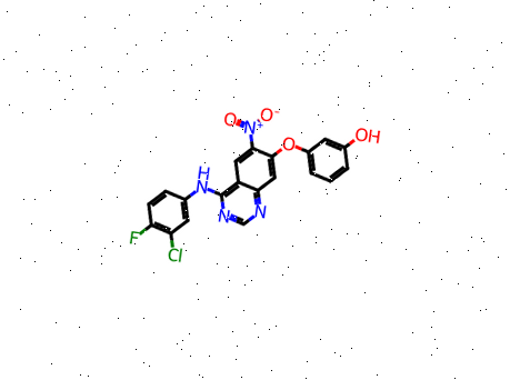 O=[N+]([O-])c1cc2c(Nc3ccc(F)c(Cl)c3)ncnc2cc1Oc1cccc(O)c1